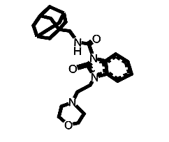 O=C(NCC12CC3CC(CC(C3)C1)C2)n1c(=O)n(CCN2CCOCC2)c2ccccc21